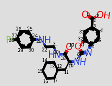 O=C(O)c1ccc2nc(N[C@@H](CC3CCCCC3)C(=O)NCCNc3ccc(F)cc3)oc2c1